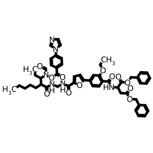 CCCCCC(C(=O)NCNC(=O)c1ccc(-c2ccc(C(=O)NC(CC(=O)OCc3ccccc3)C(=O)OCc3ccccc3)c(OCC)c2)o1)C(CC)N(C=O)OC(=O)c1ccc(-n2ccnc2)cc1